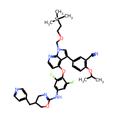 CC(C)Oc1ccc(-c2cn(COCC[Si](C)(C)C)c3nccc(Oc4c(F)cc(NC5=NCC(Cc6ccncc6)CO5)cc4F)c23)cc1C#N